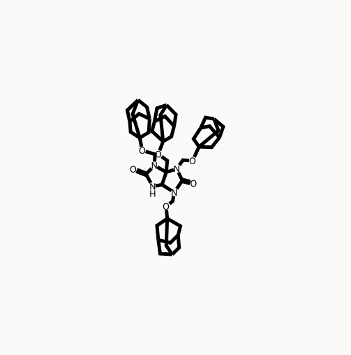 O=C1NC2N(COC34CC5CC(CC(C5)C3)C4)C(=O)N(COC34CC5CC(CC(C5)C3)C4)C2(COC23CC4CC(CC(C4)C2)C3)N1COC12CC3CC(CC(C3)C1)C2